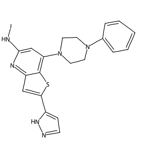 INc1cc(N2CCN(c3ccccc3)CC2)c2sc(-c3ccn[nH]3)cc2n1